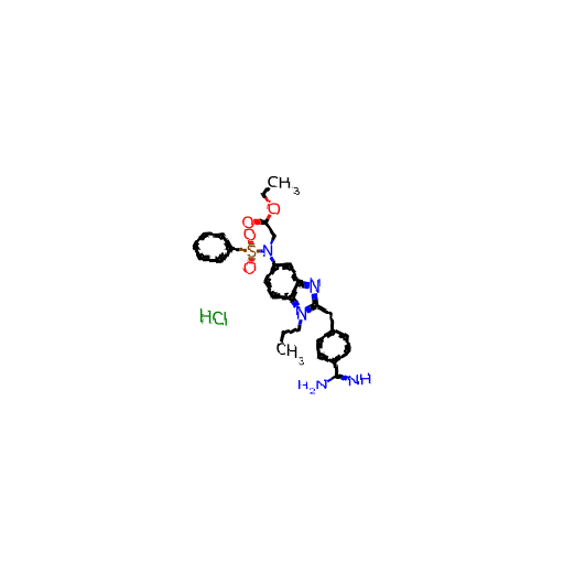 CCCn1c(Cc2ccc(C(=N)N)cc2)nc2cc(N(CC(=O)OCC)S(=O)(=O)c3ccccc3)ccc21.Cl